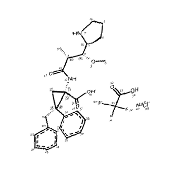 CO[C@@H]([C@@H]1CCCN1)[C@@H](C)C(=O)N[C@@]1(C(=O)O)C[C@]1(Cc1ccccc1)c1ccccc1.O=C(O)C(F)(F)F.[Cl-].[Na+]